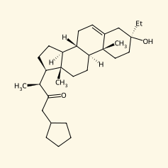 CC[C@]1(O)CC[C@@]2(C)C(=CC[C@H]3[C@@H]4CC[C@H]([C@H](C)C(=O)CC5CCCC5)[C@@]4(C)CC[C@@H]32)C1